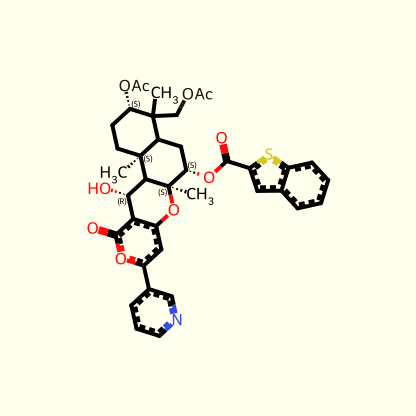 CC(=O)OCC1(C)C2C[C@H](OC(=O)c3cc4ccccc4s3)[C@@]3(C)Oc4cc(-c5cccnc5)oc(=O)c4[C@H](O)C3[C@@]2(C)CC[C@@H]1OC(C)=O